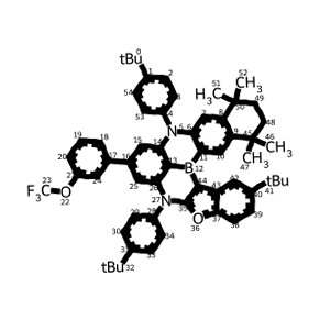 CC(C)(C)c1ccc(N2c3cc4c(cc3B3c5c2cc(-c2cccc(OC(F)(F)F)c2)cc5N(c2ccc(C(C)(C)C)cc2)c2oc5ccc(C(C)(C)C)cc5c23)C(C)(C)CCC4(C)C)cc1